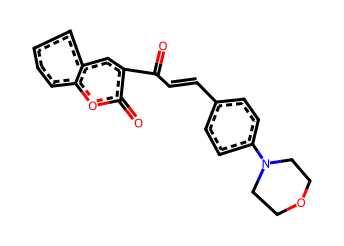 O=C(C=Cc1ccc(N2CCOCC2)cc1)c1cc2ccccc2oc1=O